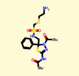 CC(C)(C)C(=O)NC1=NN(C(=O)C(C)(C)C)C(CNS(=O)(=O)CSCCN)(c2ccccc2)S1